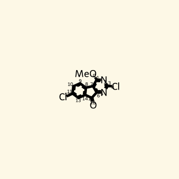 COc1nc(Cl)nc2c1-c1ccc(Cl)cc1C2=O